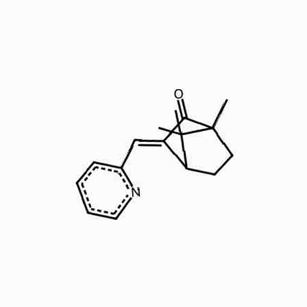 CC12CCC(C(=Cc3ccccn3)C1=O)C2(C)C